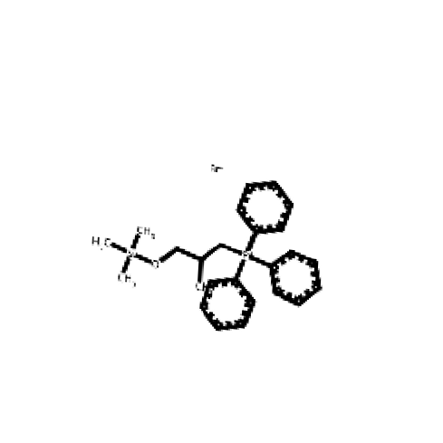 CC(CO[Si](C)(C)C)C[P+](c1ccccc1)(c1ccccc1)c1ccccc1.[Br-]